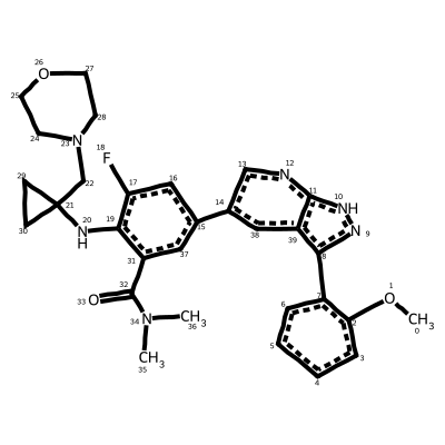 COc1ccccc1-c1n[nH]c2ncc(-c3cc(F)c(NC4(CN5CCOCC5)CC4)c(C(=O)N(C)C)c3)cc12